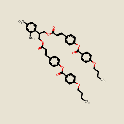 O=C(/C=C/c1ccc(OC(=O)c2ccc(OCCCC(F)(F)F)cc2)cc1)OCC(COC(=O)/C=C/c1ccc(OC(=O)c2ccc(OCCCC(F)(F)F)cc2)cc1)c1ccc([N+](=O)[O-])cc1[N+](=O)[O-]